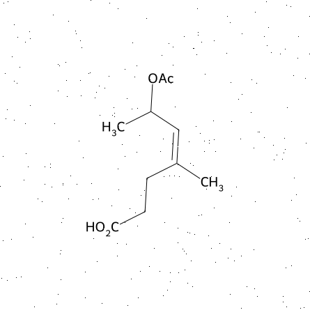 CC(=O)OC(C)C=C(C)CCC(=O)O